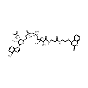 CC(C)(COP(=O)(O)OP(=O)(O)OC[C@H]1O[C@@H](n2cnc3c(N)ncnc32)[C@H](O)[C@@H]1OP(=O)(O)O)C(O)C(=O)NCCC(=O)NCCSc1cc(=O)oc2ccccc12